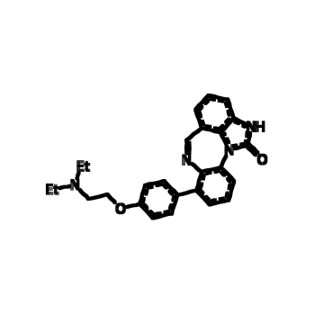 CCN(CC)CCOc1ccc(-c2cccc3c2N=Cc2cccc4[nH]c(=O)n-3c24)cc1